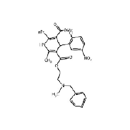 CCCC1=C(C(=O)OC)C(c2cc([N+](=O)[O-])ccc2Cl)C(C(=O)OCCN(C)Cc2ccccc2)=C(C)N1